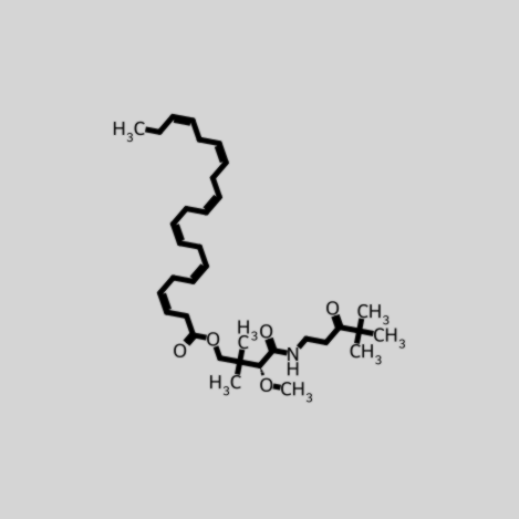 CC/C=C\C/C=C\C/C=C\C/C=C\C/C=C\C/C=C\CC(=O)OCC(C)(C)[C@@H](OC)C(=O)NCCC(=O)C(C)(C)C